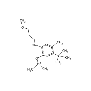 COCCCNc1cc(C)c(C(C)(C)C)cc1[O][Hf]([CH3])[CH3]